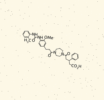 COc1cc(CCC(=O)N2CCCN(C(=O)CC(CC(=O)O)c3ccccc3)CC2)ccc1NC(=O)Nc1ccccc1C